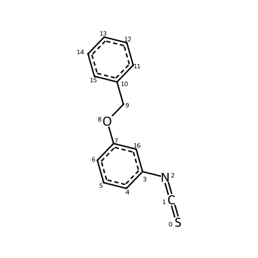 S=C=Nc1cccc(OCc2ccccc2)c1